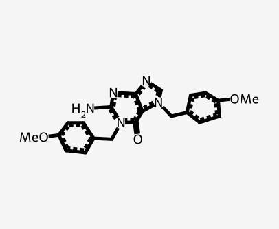 COc1ccc(Cn2c(N)nc3ncn(Cc4ccc(OC)cc4)c3c2=O)cc1